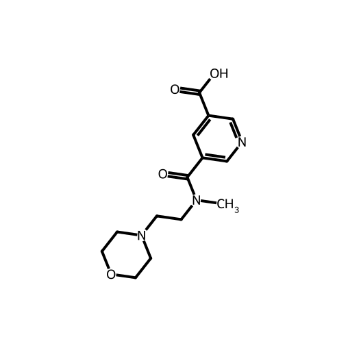 CN(CCN1CCOCC1)C(=O)c1cncc(C(=O)O)c1